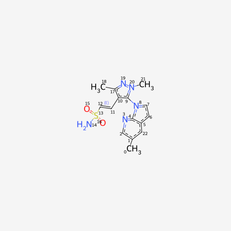 Cc1cnc2c(ccn2-c2c(/C=C/S(N)(=O)=O)c(C)nn2C)c1